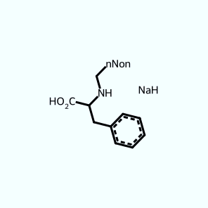 CCCCCCCCCCNC(Cc1ccccc1)C(=O)O.[NaH]